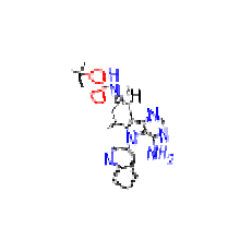 [2H]C1c2c(n(-c3cnc4ccccc4c3)c3c(N)ncnc23)C(=C)C[C@@H]1NC(=O)OC(C)(C)C